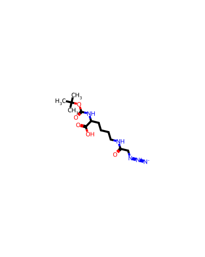 CC(C)(C)OC(=O)NC(CCCCNC(=O)CN=[N+]=[N-])C(=O)O